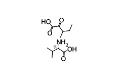 CC(C)[C@H](N)C(=O)O.CCC(C)C(=O)C(=O)O